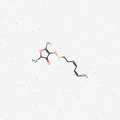 C/C=C\C=C/CCSOC1=C(N)OC(C)C1=O